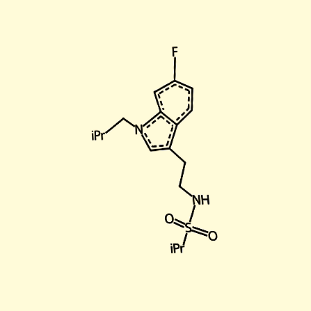 CC(C)Cn1cc(CCNS(=O)(=O)C(C)C)c2ccc(F)cc21